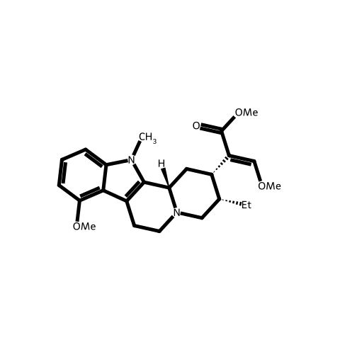 CC[C@@H]1CN2CCc3c(n(C)c4cccc(OC)c34)[C@@H]2C[C@@H]1/C(=C\OC)C(=O)OC